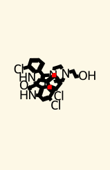 O=C(c1cccc(Cl)c1NC1(Cc2cccc(Cl)c2)C(=O)Nc2cc(Cl)ccc21)N1CCN(CCO)CC1